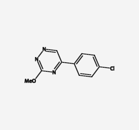 COc1nncc(-c2ccc(Cl)cc2)n1